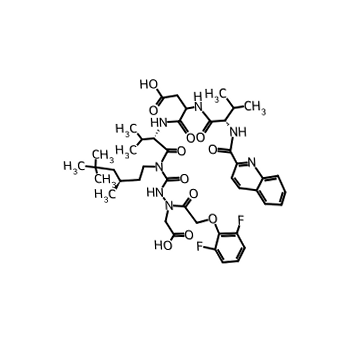 CC(C)[C@H](NC(=O)c1ccc2ccccc2n1)C(=O)NC(CC(=O)O)C(=O)N[C@H](C(=O)N(CC[C@@H](C)CC(C)(C)C)C(=O)NN(CC(=O)O)C(=O)COc1c(F)cccc1F)C(C)C